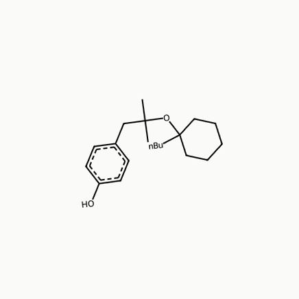 CCCCC1(OC(C)(C)Cc2ccc(O)cc2)CCCCC1